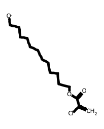 C=C(Cl)C(=O)OCCCCCCCCCCCC[O]